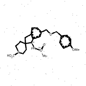 COc1ccc(COCc2ccc3c(c2)[C@@H](N[S@+]([O-])C(C)(C)C)C2(CCN(C(=O)O)CC2)C3)cc1